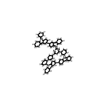 c1ccc(-c2cc(-c3cccc(-n4c5ccccc5c5ccc(-c6ccc7c(c6)c6ccccc6n7-c6ccccc6)cc54)c3)nc(-n3c4ccccc4c4cc(-c5ccc6c(c5)c5ccccc5n6-c5ccccc5)ccc43)n2)cc1